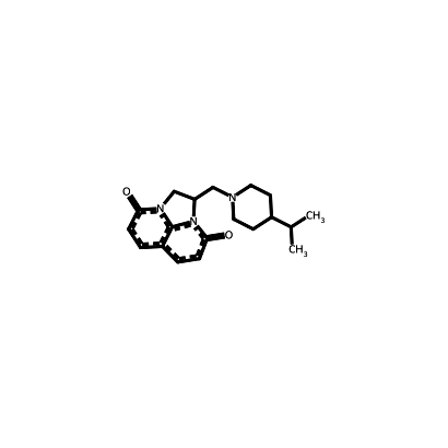 CC(C)C1CCN(CC2Cn3c(=O)ccc4ccc(=O)n2c43)CC1